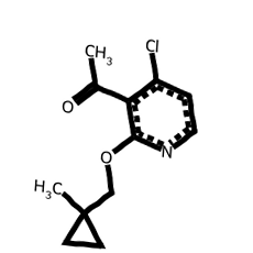 CC(=O)c1c(Cl)ccnc1OCC1(C)CC1